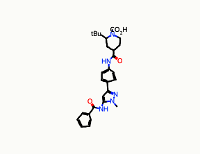 Cn1nc(-c2ccc(NC(=O)C3CCN(C(=O)O)C(C(C)(C)C)C3)cc2)cc1NC(=O)c1ccccc1